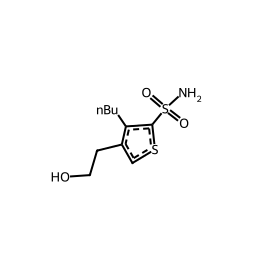 CCCCc1c(CCO)csc1S(N)(=O)=O